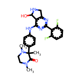 CN1CCN(C)C(C)(c2ccc(Nc3nc(-c4c(F)cccc4F)nc4c3C(O)NC4)cc2)C1=O